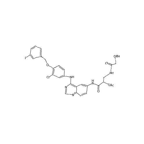 COCC(=O)NCC(OC(C)=O)C(=O)Nc1ccc2ncnc(Nc3ccc(OCc4cccc(F)c4)c(Cl)c3)c2c1